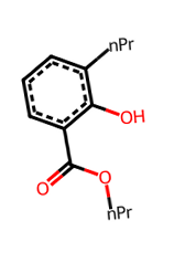 CCCOC(=O)c1cccc(CCC)c1O